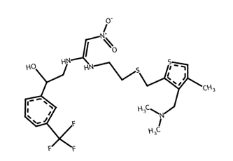 Cc1csc(CSCCNC(=C[N+](=O)[O-])NCC(O)c2cccc(C(F)(F)F)c2)c1CN(C)C